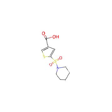 O=C(O)c1csc(S(=O)(=O)N2CC[CH]CC2)c1